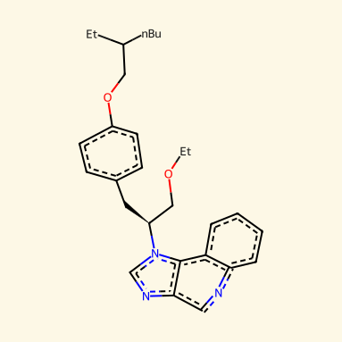 CCCCC(CC)COc1ccc(C[C@@H](COCC)n2cnc3cnc4ccccc4c32)cc1